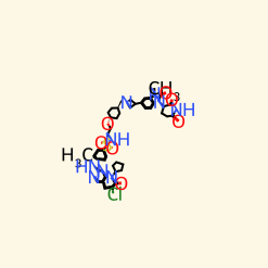 Cc1cc(S(=O)(=O)NCCO[C@H]2CC[C@H](CN3CC(c4ccc5c(c4)n(C)c(=O)n5C4CCC(=O)NC4=O)C3)CC2)ccc1Nc1ncc2cc(Cl)c(=O)n(C3CCCC3)c2n1